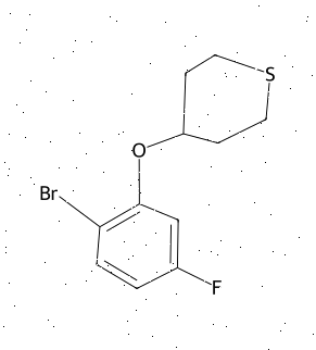 Fc1ccc(Br)c(OC2CCSCC2)c1